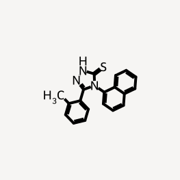 Cc1ccccc1-c1n[nH]c(=S)n1-c1cccc2ccccc12